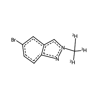 [2H]C([2H])([2H])n1cc2cc(Br)ccc2n1